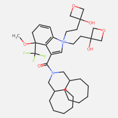 COC1(C(F)(F)F)CC=CC2=C1C(C(=O)N(CC1CCCCCC1)CC1CCCCCC1)=C[N+]2(CCC1(O)COC1)CCC1(O)COC1